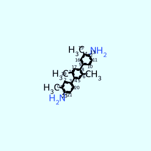 Cc1cc(-c2cc(C)c(-c3ccc(N)c(C)c3)cc2C)ccc1N